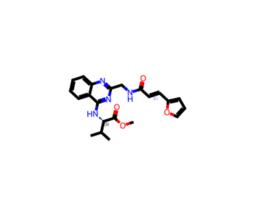 COC(=O)[C@@H](Nc1nc(CNC(=O)/C=C/c2ccco2)nc2ccccc12)C(C)C